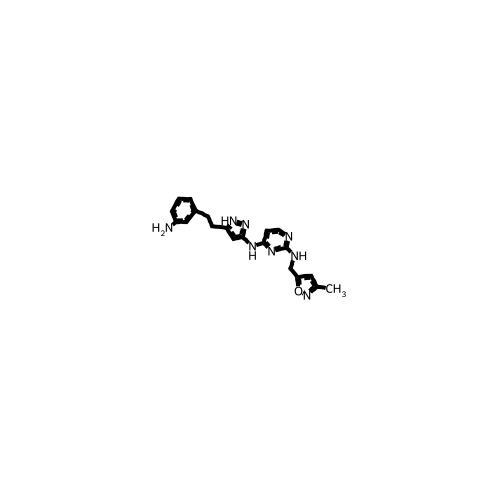 Cc1cc(CNc2nccc(Nc3cc(CCc4cccc(N)c4)[nH]n3)n2)on1